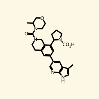 Cc1c[nH]c2ncc(-c3cc4c(c(C5CCCN5C(=O)O)c3)CN(C(=O)N3CCOCC3C)CC4)cc12